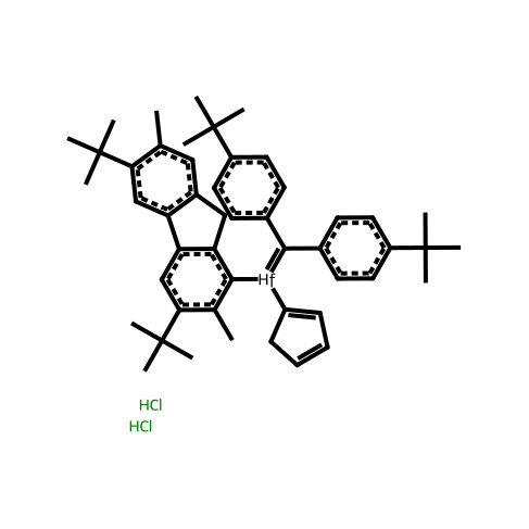 Cc1cc2c(cc1C(C)(C)C)-c1cc(C(C)(C)C)c(C)[c]([Hf]([C]3=CC=CC3)=[C](c3ccc(C(C)(C)C)cc3)c3ccc(C(C)(C)C)cc3)c1C2.Cl.Cl